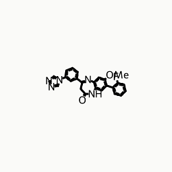 COc1cc2c(cc1-c1ccccc1F)NC(=O)CC(c1cccc(-n3cnnc3)c1)=N2